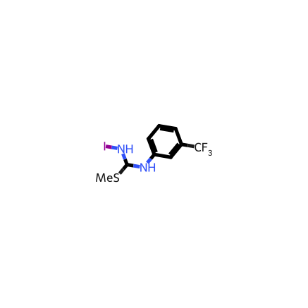 CSC(NI)Nc1cccc(C(F)(F)F)c1